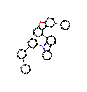 c1ccc(-c2cccc(-c3cccc(-n4c5ccccc5c5cccc(-c6cccc7oc8ccc(-c9ccccc9)cc8c67)c54)c3)c2)cc1